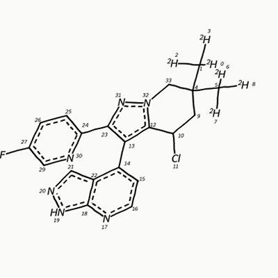 [2H]C([2H])([2H])C1(C([2H])([2H])[2H])CC(Cl)c2c(-c3ccnc4[nH]ncc34)c(-c3ccc(F)cn3)nn2C1